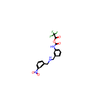 O=C(Nc1cccc(CNCc2cccc([N+](=O)[O-])c2)c1)OC(=O)C(F)(F)F